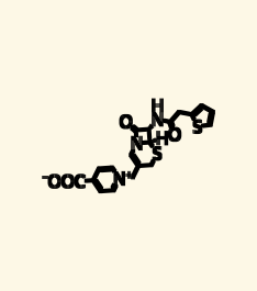 O=C(Cc1cccs1)N[C@@H]1C(=O)N2C=C(C[n+]3ccc(C(=O)[O-])cc3)CS[C@@H]12